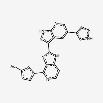 CC(=O)c1ccc(-c2nccc3[nH]c(-c4n[nH]c5ncc(-c6cn[nH]c6)cc45)nc23)s1